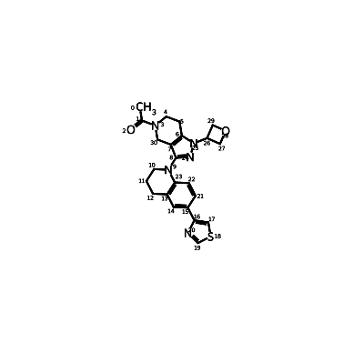 CC(=O)N1CCc2c(c(N3CCCc4cc(-c5cscn5)ccc43)nn2C2COC2)C1